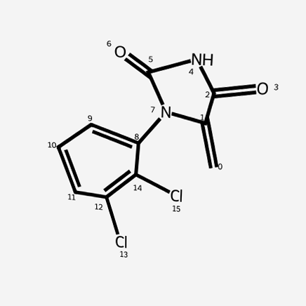 C=C1C(=O)NC(=O)N1c1cccc(Cl)c1Cl